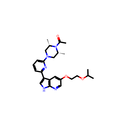 CC(=O)N1[C@H](C)CN(c2cccc(-c3c[nH]c4ncc(OCCOC(C)C)cc34)n2)C[C@@H]1C